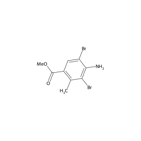 COC(=O)c1cc(Br)c(N)c(Br)c1C